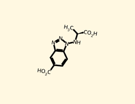 C[C@H](Nn1nnc2cc(C(=O)O)ccc21)C(=O)O